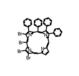 BrC1=C(Br)C2=NC1=CC1=NC(=CC3=NC(=C(c4ccccc4)C4=NC(=C2Br)C(Br)=C4c2ccccc2)C(c2ccccc2)=C3c2ccccc2)C=C1